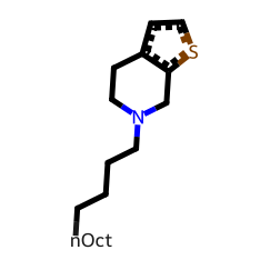 CCCCCCCCCCCCN1CCc2ccsc2C1